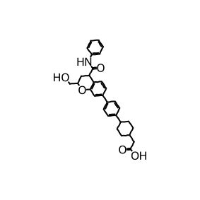 O=C(O)CC1CCC(c2ccc(-c3ccc4c(c3)OC(CO)CC4C(=O)Nc3ccccc3)cc2)CC1